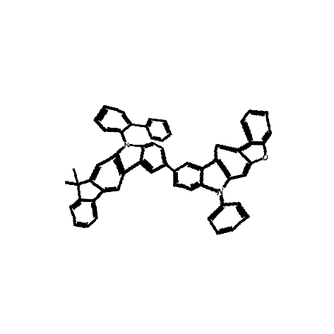 CC1(C)c2ccccc2-c2cc3c4cc(-c5ccc6c(c5)c5cc7c(cc5n6-c5ccccc5)oc5ccccc57)ccc4n(-c4ccccc4-c4ccccc4)c3cc21